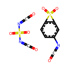 O=C=NS(=O)(=O)N=C=O.O=C=Nc1ccc2c(c1)S2(=O)=O